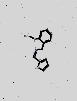 COc1ccccc1C/N=C\c1cccs1